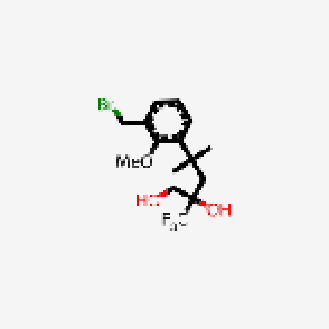 COc1c(CBr)cccc1C(C)(C)CC(O)(CO)C(F)(F)F